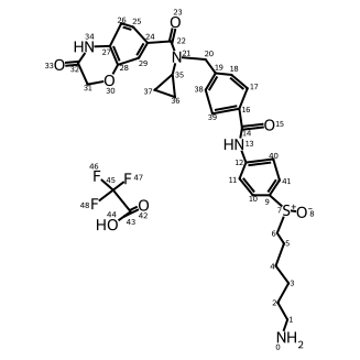 NCCCCCC[S+]([O-])c1ccc(NC(=O)c2ccc(CN(C(=O)c3ccc4c(c3)OCC(=O)N4)C3CC3)cc2)cc1.O=C(O)C(F)(F)F